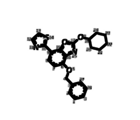 c1ccc(COc2ccc(-c3nccs3)c3oc(OC4CCCCC4)nc23)cc1